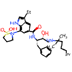 CCc1c[nH]c2c(N3CCCS3(O)O)cc(C(=O)N[C@@H](Cc3ccccc3)[C@H](O)CNC(C)(C)CCCC(C)C)cc12